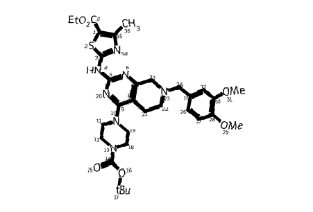 CCOC(=O)c1sc(Nc2nc3c(c(N4CCN(C(=O)OC(C)(C)C)CC4)n2)CCN(Cc2ccc(OC)c(OC)c2)C3)nc1C